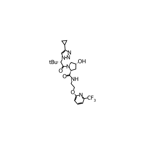 CC(C)(C)[C@@H](C(=O)N1C[C@H](O)C[C@H]1C(=O)NCCOc1cccc(C(F)(F)F)n1)n1cc(C2CC2)nn1